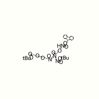 CN(CCN(CCN(C)C(=O)OC(C)(C)C)C(=O)CCOCCNC(=O)OCC1c2ccccc2-c2ccccc21)C(=O)CCOCCOCCC(=O)OC(C)(C)C